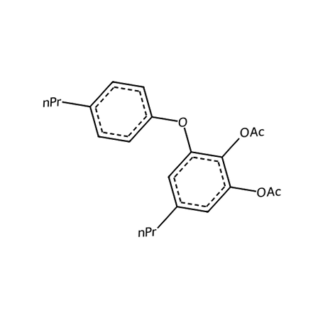 CCCc1ccc(Oc2cc(CCC)cc(OC(C)=O)c2OC(C)=O)cc1